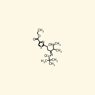 CCOC(=O)c1csc([C@H](O)C/C(=N\[S@@+]([O-])C(C)(C)C)C(C)CC)n1